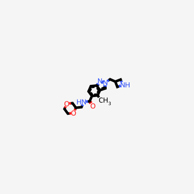 Cc1c(C(=O)NCC2COCCO2)ccc2nn(CC3CNC3)cc12